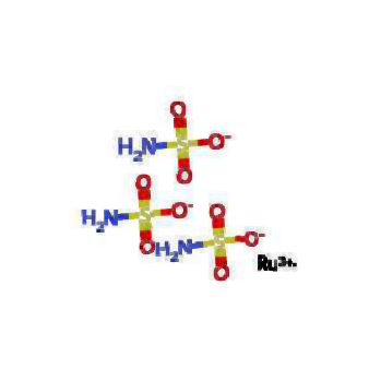 NS(=O)(=O)[O-].NS(=O)(=O)[O-].NS(=O)(=O)[O-].[Ru+3]